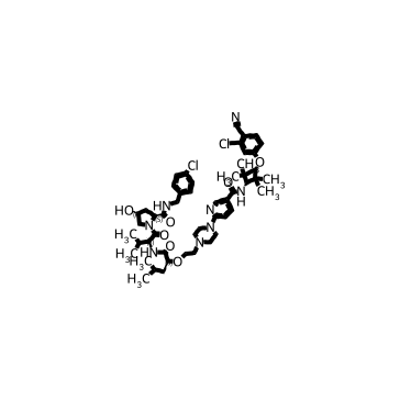 CC(C)C[C@H](OCCN1CCN(c2ccc(C(=O)N[C@H]3C(C)(C)[C@H](Oc4ccc(C#N)c(Cl)c4)C3(C)C)cn2)CC1)C(=O)N[C@H](C(=O)N1C[C@H](O)C[C@H]1C(=O)NCc1ccc(Cl)cc1)C(C)C